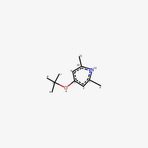 Cc1cc(OC(C)(C)C)cc(C)n1